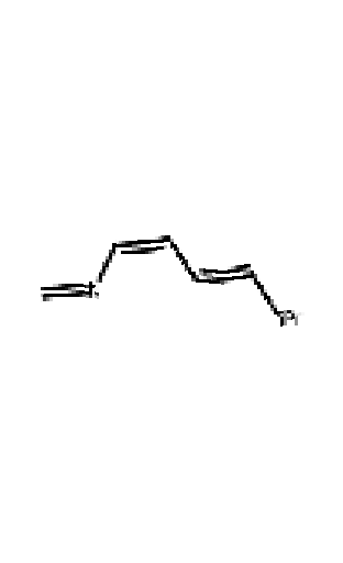 C=N/C=C\C=C\C(C)C